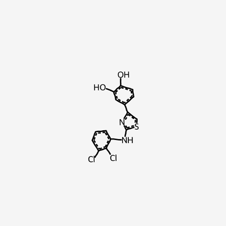 Oc1ccc(-c2csc(Nc3cccc(Cl)c3Cl)n2)cc1O